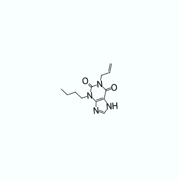 C=CCn1c(=O)c2[nH]cnc2n(CCCC)c1=O